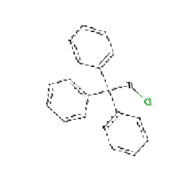 [Cl][Ti][C](c1ccccc1)(c1ccccc1)c1ccccc1